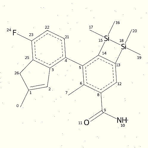 CC1=Cc2c(-c3c(C)c(C([NH])=O)cc4c3[Si](C)(C)[Si]4(C)C)ccc(F)c2C1